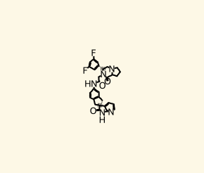 O=C(CN1C(=O)C2CCCN2C[C@H]1c1cc(F)cc(F)c1)Nc1ccc2c(c1)C[C@@]1(C2)C(=O)Nc2ncccc21